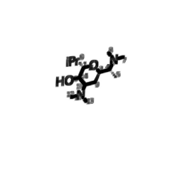 CC(C)[C@@H]1O[C@@H]([C@@H](C)N(C)C)CC(N(C)C)C1O